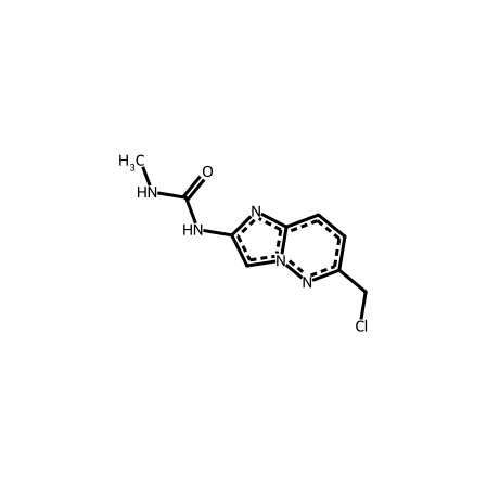 CNC(=O)Nc1cn2nc(CCl)ccc2n1